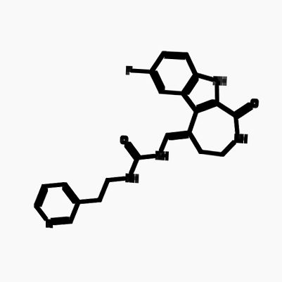 O=C(NC=C1CCNC(=O)c2[nH]c3ccc(F)cc3c21)NCCc1cccnc1